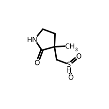 CC1(C[SH](=O)=O)CCNC1=O